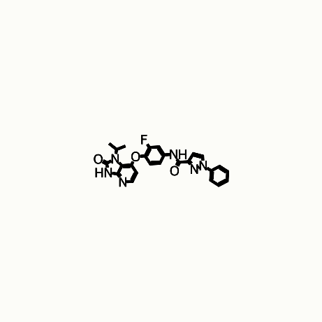 CC(C)n1c(=O)[nH]c2nccc(Oc3ccc(NC(=O)c4ccn(-c5ccccc5)n4)cc3F)c21